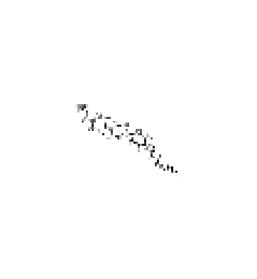 CCCCOc1ccc(C2CCC(C3CCC(/C=C/F)CC3)CC2)cc1